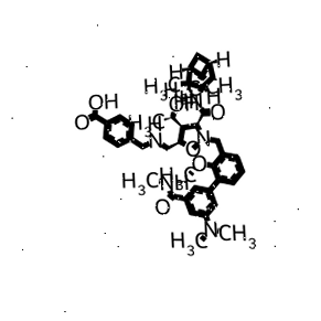 CNC(=O)c1cc(-c2cccc(CN3O[C@@H](CNCc4ccc(C(=O)O)cc4)[C@@H]([C@H](C)O)[C@H]3C(=O)N[C@H]3C[C@H]4C[C@@H]([C@@H]3C)C4(C)C)c2OC)cc(N(C)C)c1